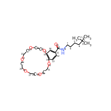 CC(C)(C)CCCCNC(=O)c1ccc2c(c1)OCCOCCOCCOCCOCCO2